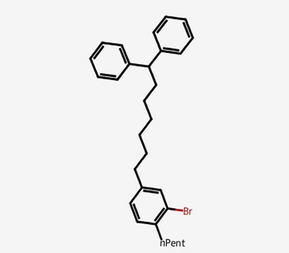 CCCCCc1ccc(CCCCCCC(c2ccccc2)c2ccccc2)cc1Br